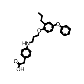 CCCc1cc(Oc2ccccc2)ccc1OCCCNc1ccc(CC(=O)O)cc1